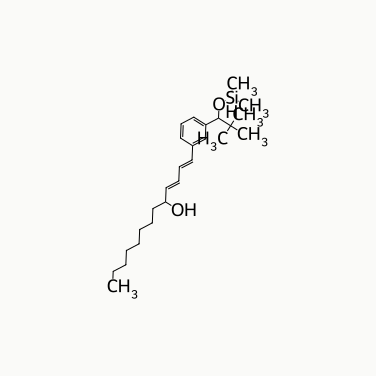 CCCCCCCCC(O)C=CC=Cc1cccc(C(O[SiH](C)C)C(C)(C)C)c1